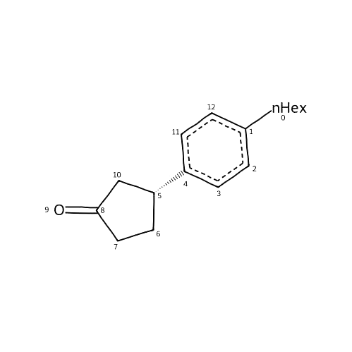 CCCCCCc1ccc([C@@H]2CCC(=O)C2)cc1